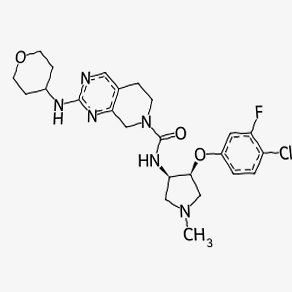 CN1C[C@H](Oc2ccc(Cl)c(F)c2)[C@H](NC(=O)N2CCc3cnc(NC4CCOCC4)nc3C2)C1